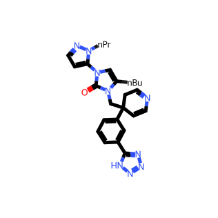 CCCCc1cn(-c2ccnn2CCC)c(=O)n1CC1(c2cccc(-c3nnn[nH]3)c2)C=CN=CC1